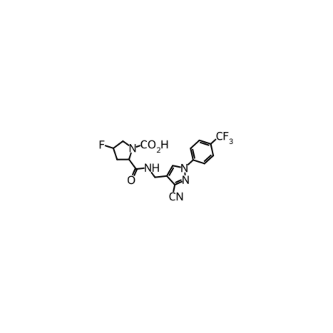 N#Cc1nn(-c2ccc(C(F)(F)F)cc2)cc1CNC(=O)C1CC(F)CN1C(=O)O